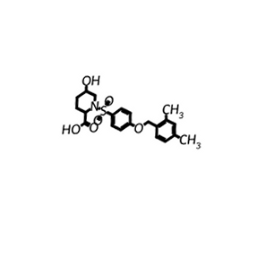 Cc1ccc(COc2ccc(S(=O)(=O)N3CC(O)CCC3C(=O)O)cc2)c(C)c1